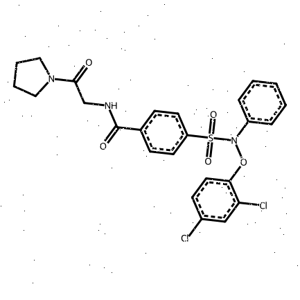 O=C(NCC(=O)N1CCCC1)c1ccc(S(=O)(=O)N(Oc2ccc(Cl)cc2Cl)c2ccccc2)cc1